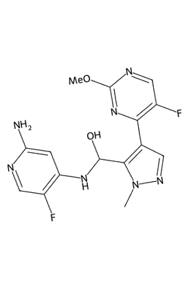 COc1ncc(F)c(-c2cnn(C)c2C(O)Nc2cc(N)ncc2F)n1